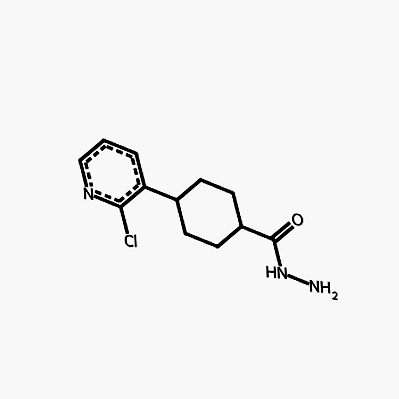 NNC(=O)C1CCC(c2cccnc2Cl)CC1